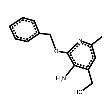 Cc1cc(CO)c(N)c(OCc2ccccc2)n1